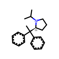 CC(C)N1CCC[C@H]1C(C)(c1ccccc1)c1ccccc1